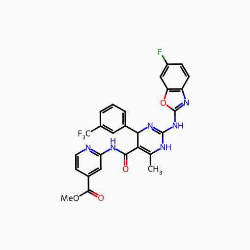 COC(=O)c1ccnc(NC(=O)C2=C(C)NC(Nc3nc4ccc(F)cc4o3)=NC2c2cccc(C(F)(F)F)c2)c1